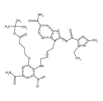 CCn1nc(C)cc1C(=O)/N=c1\sc2cc(C(N)=O)cnc2n1C/C=C/CNc1c(OCCCC(=O)OC(C)(C)C)cc(C(N)=O)cc1[N+](=O)[O-]